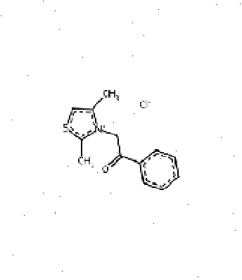 Cc1csc(C)[n+]1CC(=O)c1ccccc1.[Cl-]